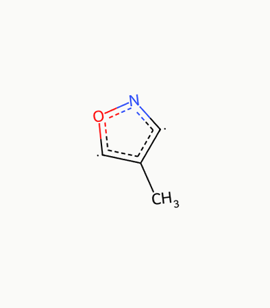 Cc1[c]no[c]1